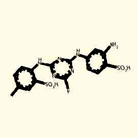 Cc1ccc(Nc2nc(F)nc(Nc3ccc(S(=O)(=O)O)c(N)c3)n2)c(S(=O)(=O)O)c1